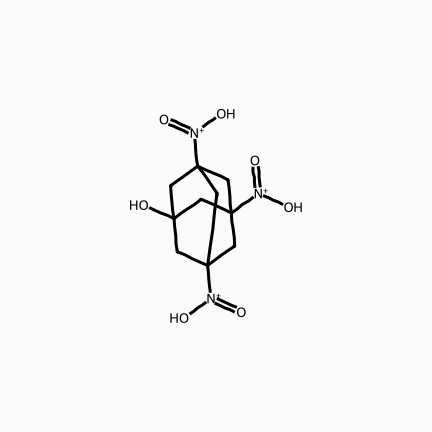 O=[N+](O)C12CC3(O)CC([N+](=O)O)(C1)CC([N+](=O)O)(C3)C2